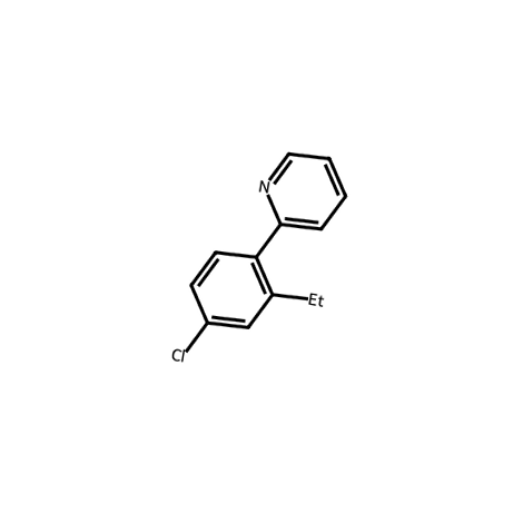 CCc1cc(Cl)ccc1-c1ccccn1